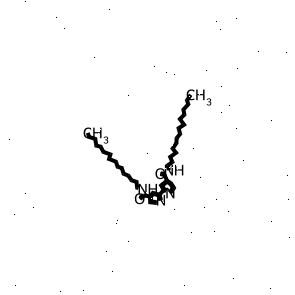 CCCCCCCCCCCCCCCCNC(=O)c1ccnc(-c2cc(C(=O)NCCCCCCCCCCCCCCCC)ccn2)c1